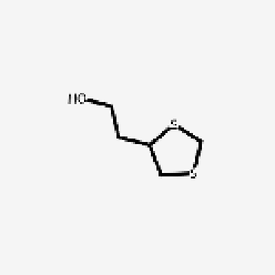 OCCC1CSCS1